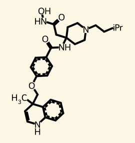 CC(C)CCN1CCC(CC(=O)NO)(NC(=O)c2ccc(OCC3(C)C=CNc4ccccc43)cc2)CC1